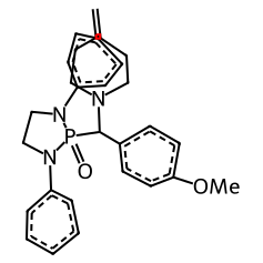 C=C1CCN(C(c2ccc(OC)cc2)P2(=O)N(c3ccccc3)CCN2c2ccccc2)CC1